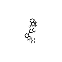 [2H]C1([2H])c2ncccc2C(=O)N1Cc1ccc(-c2cccc3nn(C([2H])([2H])[2H])cc23)cc1F